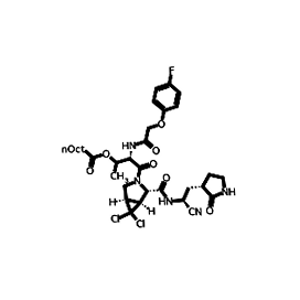 CCCCCCCCC(=O)OC(C)[C@H](NC(=O)COc1ccc(F)cc1)C(=O)N1C[C@H]2[C@@H]([C@H]1C(=O)N[C@H](C#N)C[C@@H]1CCNC1=O)C2(Cl)Cl